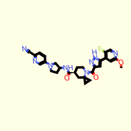 COc1cc(-c2cc(C(=O)N3CC[C@H](C(=O)NC4CCN(c5ccc(C#N)nc5)C4)CC34CC4)n[nH]2)c(F)cn1